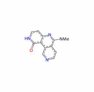 CNc1nc2cc[nH]c(=O)c2c2cnccc12